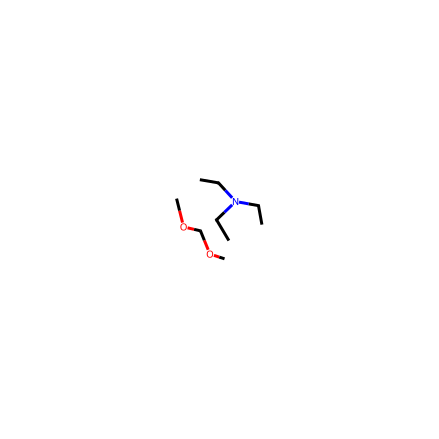 CCN(CC)CC.COCOC